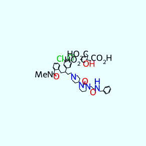 CNC(=O)c1ccccc1CC(CCN1CCC(N2CCCN(CC(=O)NCc3ccccc3)C2=O)CC1)c1ccc(Cl)c(Cl)c1.O=C(O)CC(O)(CC(=O)O)C(=O)O